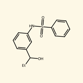 [CH2]CC(O)c1cccc(NS(=O)(=O)c2ccccc2)c1